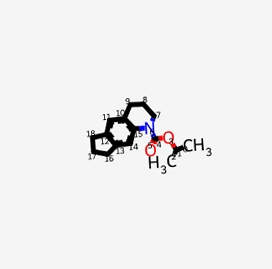 CC(C)OC(=O)N1CCCc2cc3c(cc21)CCC3